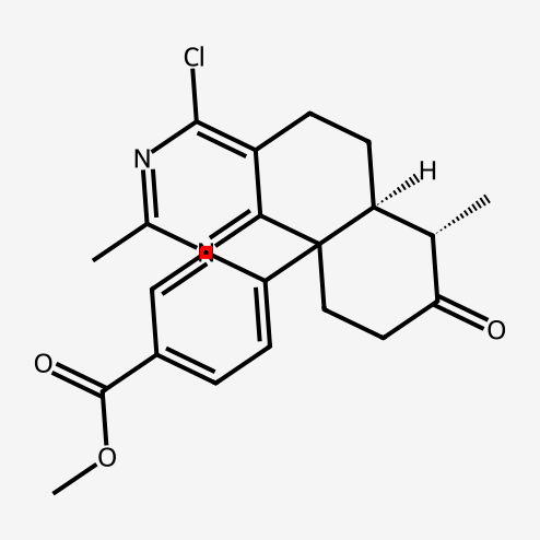 COC(=O)c1ccc(C23CCC(=O)[C@@H](C)[C@@H]2CCc2c(Cl)nc(C)nc23)cc1